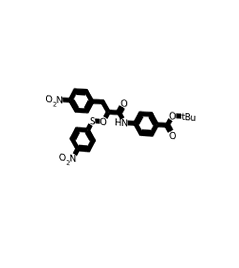 CC(C)(C)OC(=O)c1ccc(NC(=O)C(Cc2ccc([N+](=O)[O-])cc2)OSc2ccc([N+](=O)[O-])cc2)cc1